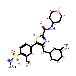 CC(C)(C)NS(=O)(=O)c1ccc(-c2sc(C(=O)NC3CCOCC3)nc2CC2CCCC(C(F)(F)F)C2)cc1C(F)(F)F